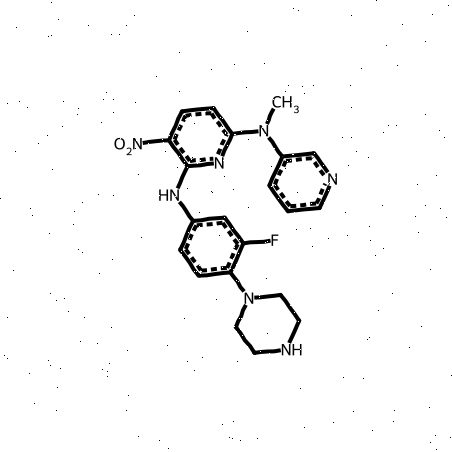 CN(c1cccnc1)c1ccc([N+](=O)[O-])c(Nc2ccc(N3CCNCC3)c(F)c2)n1